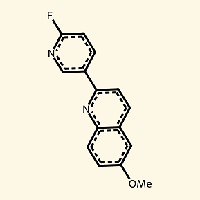 COc1ccc2nc(-c3ccc(F)nc3)ccc2c1